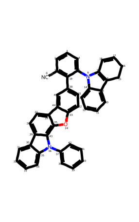 N#Cc1cccc(-n2c3c(c4ccccc42)CCC=C3)c1-c1ccc2oc3c(ccc4c5ccccc5n(-c5ccccc5)c43)c2c1